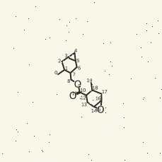 CC1CC2CC2CC1COC(=O)C1CC2OC2CC1C